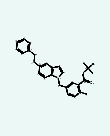 Cc1ccc(Cn2ccc3cc(OCc4ccccc4)ccc32)cc1C(=O)OC(C)(C)C